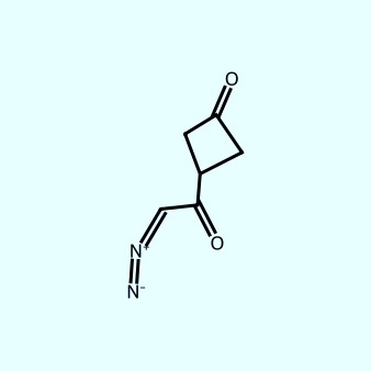 [N-]=[N+]=CC(=O)C1CC(=O)C1